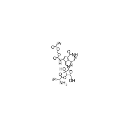 CC(C)C(=O)OCOC(=O)Nc1cc2c(=O)[nH]ncc3nn(C4OC(CO)C(OC(=O)C(N)C(C)C)C4(C)O)cc1c32